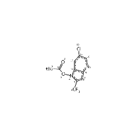 CC(C)(C)C(=O)On1c(C(F)(F)F)nc2ncc(Cl)cc21